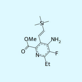 CCc1nc(C(=O)OC)c(C=C[Si](C)(C)C)c(N)c1F